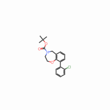 CC(C)(C)OC(=O)N1CCOc2c(cccc2-c2ccccc2Cl)C1